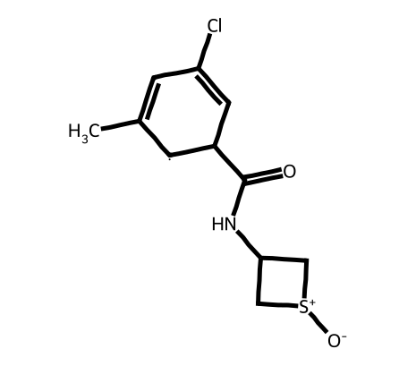 CC1=CC(Cl)=CC(C(=O)NC2C[S+]([O-])C2)[CH]1